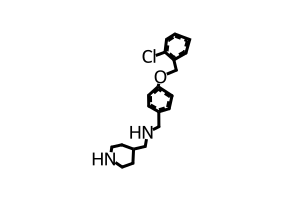 Clc1ccccc1COc1ccc(CNCC2CCNCC2)cc1